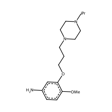 COc1ccc(N)cc1OCCCN1CCN(C(C)C)CC1